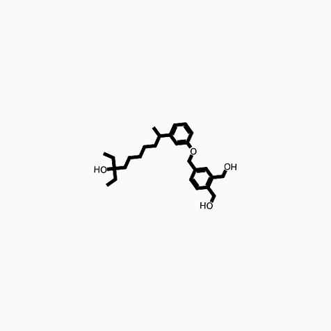 CCC(O)(CC)CCCCCC(C)c1cccc(OCc2ccc(CO)c(CO)c2)c1